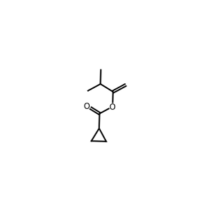 C=C(OC(=O)C1CC1)C(C)C